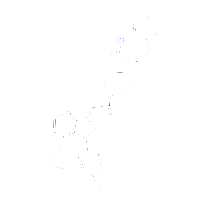 Cc1cc(O)ccc1-c1cn(CC(=O)N2CCC(N3CCc4ccccc4NC3=O)CC2)c2ncnc(N3CCCC3)c12